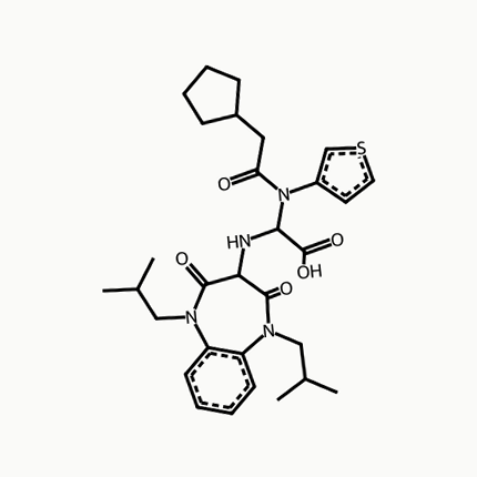 CC(C)CN1C(=O)C(NC(C(=O)O)N(C(=O)CC2CCCC2)c2ccsc2)C(=O)N(CC(C)C)c2ccccc21